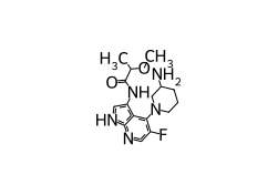 COC(C)C(=O)Nc1c[nH]c2ncc(F)c(N3CCCC(N)C3)c12